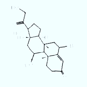 CC1C[C@H]2[C@@H]3CC[C@](O)(C(=O)CO)[C@@]3(C)CC(O)[C@]2(F)[C@@]2(C)CCC(=O)C=C12